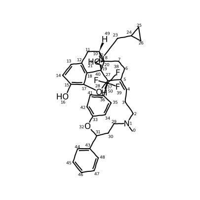 CN(CC/C=C1/CC[C@@]2(O)[C@H]3Cc4ccc(O)c5c4[C@@]2(CCN3CC2CC2)[C@H]1O5)CCC(Oc1ccc(C(F)(F)F)cc1)c1ccccc1